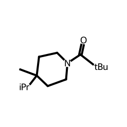 CC(C)C1(C)CCN(C(=O)C(C)(C)C)CC1